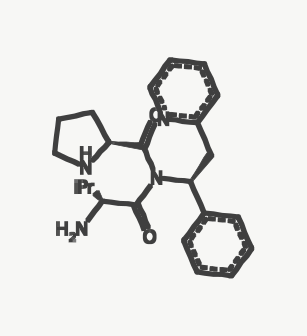 CC(C)[C@H](N)C(=O)N(C(=O)[C@@H]1CCCN1)[C@@H](Cc1ccccn1)c1ccccc1